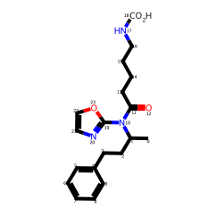 CC(CCc1ccccc1)N(C(=O)CCCCNC(=O)O)c1ncco1